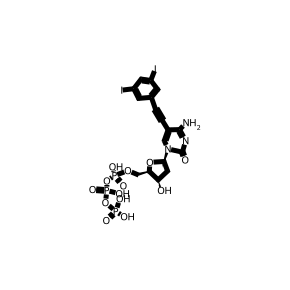 Nc1nc(=O)n([C@H]2C[C@H](O)[C@@H](COP(=O)(O)OP(=O)(O)OP(=O)(O)O)O2)cc1C#Cc1cc(I)cc(I)c1